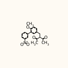 COc1ccc(CC(C(C)=O)C(C)=O)cc1-c1cccc([N+](=O)[O-])c1